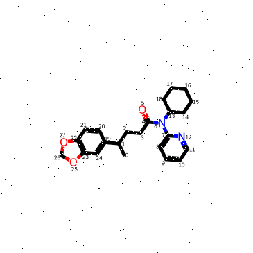 CC(CCC(=O)N(c1ccccn1)C1CCCCC1)c1ccc2c(c1)OCO2